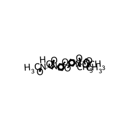 CC(=O)NC[C@H]1CN(c2ccc3c(c2)Oc2ccc(N(C)C(=O)[C@@H]4COC(C)(C)O4)cc2O3)C(=O)O1